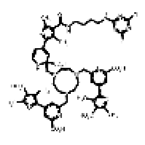 Cc1oc(C2=CC(CN3CCN(Cc4cc(-c5oc(C)c(C(=O)O)c5C)cc(C(=O)O)n4)CCN(Cc4cc(-c5oc(C)c(C(=O)O)c5C)cc(C(=O)O)n4)CC3)(C(=O)O)NC=C2)c(C)c1C(=O)NCCCCNc1nc(Cl)nc(Cl)n1